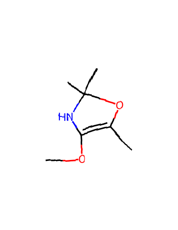 COC1=C(C)OC(C)(C)N1